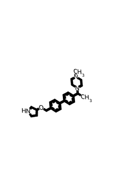 CC(c1ccc(-c2ccc(COC3CCNC3)cc2)cc1)N1CCN(C)CC1